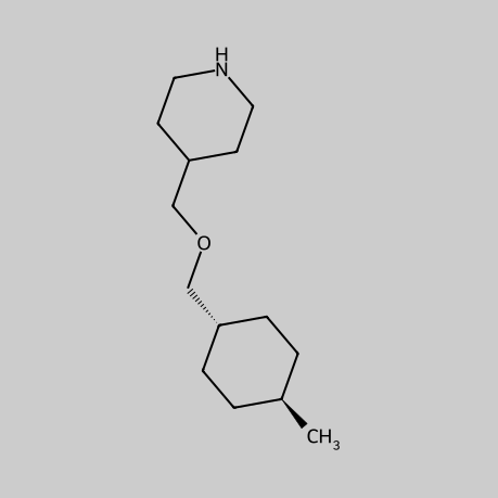 C[C@H]1CC[C@H](COCC2CCNCC2)CC1